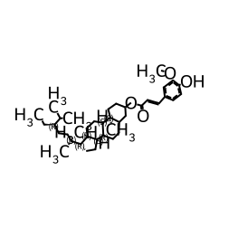 CC[C@H](CC[C@@H](C)[C@H]1CC[C@H]2[C@@H]3CCC4CC(OC(=O)C=Cc5ccc(O)c(OC)c5)CC[C@]4(C)[C@H]3CC[C@]12C)C(C)C